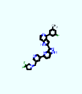 Cc1cc(F)cc(-c2nccc3[nH]c(-c4n[nH]c5ccc(-c6cncc(CN7CCC(F)(F)C7)c6)nc45)cc23)c1